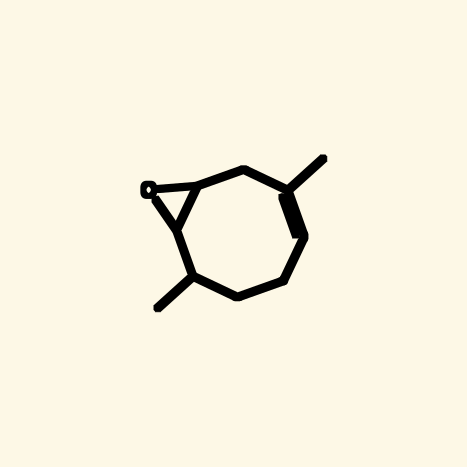 C/C1=C/CCC(C)C2OC2C1